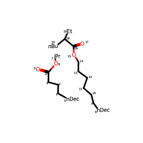 CCCCCCCCCCCCCC(=O)OC(C)C.CCCCCCCCCCCCCCCCOC(=O)C(CC)CCCC